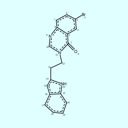 O=c1c2cc(Br)ccc2ncn1CCc1cc2ccccc2[nH]1